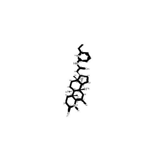 CCc1cccc(NC(=O)C[C@H]2CC[C@H]3[C@@H]4CC(C)=C5N(C)C(=O)CC[C@]5(C)[C@H]4CC[C@]23C)n1